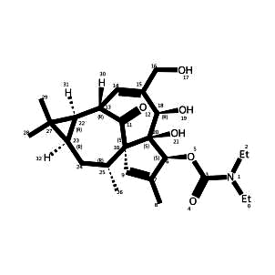 CCN(CC)C(=O)O[C@H]1C(C)=C[C@]23C(=O)[C@@H](C=C(CO)[C@@H](O)[C@]12O)[C@H]1[C@@H](C[C@H]3C)C1(C)C